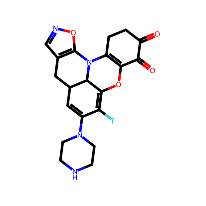 O=C1CCC2=C(OC3=C(F)C(N4CCNCC4)=CC4Cc5cnoc5N2C34)C1=O